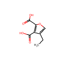 CCc1coc(C(=O)O)c1C(=O)O